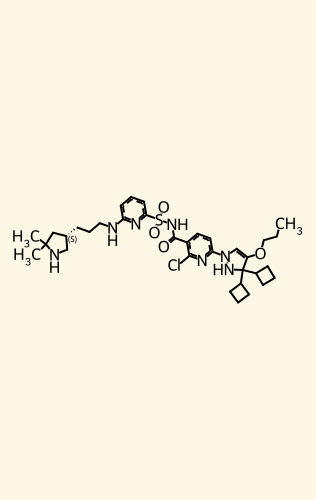 CCCOC1=CN(c2ccc(C(=O)NS(=O)(=O)c3cccc(NCCC[C@@H]4CNC(C)(C)C4)n3)c(Cl)n2)NC1(C1CCC1)C1CCC1